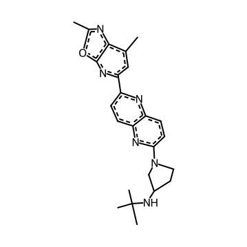 Cc1nc2c(C)cc(-c3ccc4nc(N5CCC(NC(C)(C)C)C5)ccc4n3)nc2o1